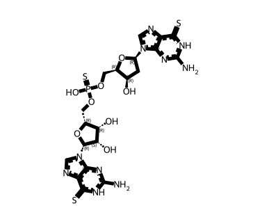 Nc1nc2c(ncn2[C@@H]2O[C@H](COP(O)(=S)OC[C@H]3O[C@@H](n4cnc5c(=S)[nH]c(N)nc54)C[C@H]3O)[C@H](O)[C@@H]2O)c(=S)[nH]1